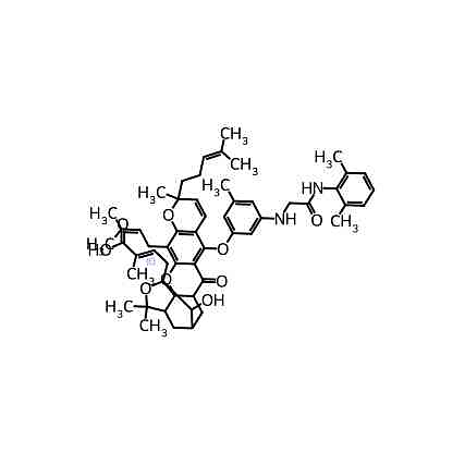 CC(C)=CCCC1(C)C=Cc2c(c(CC=C(C)C)c3c(c2Oc2cc(C)cc(NCC(=O)Nc4c(C)cccc4C)c2)C(=O)C2CC4CC5C(C)(C)OC(C/C=C(\C)C(=O)O)(C4O)C25O3)O1